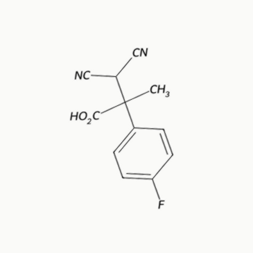 CC(C(=O)O)(c1ccc(F)cc1)C(C#N)C#N